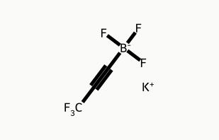 F[B-](F)(F)C#CC(F)(F)F.[K+]